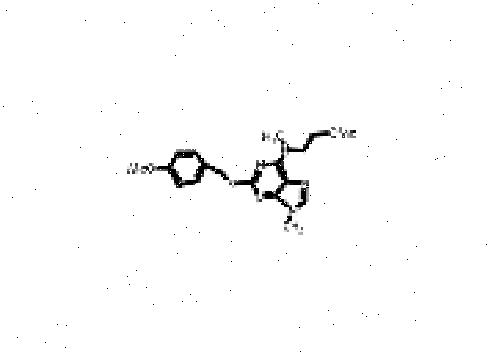 COCCN(C)c1nc(SCc2ccc(OC)cc2)nc2c1ncn2C